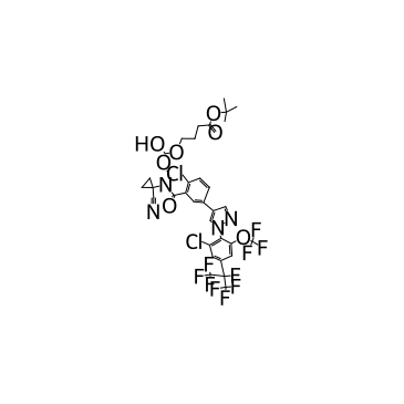 CC(C)(C)OC(=O)CCCOC(O)OCN(C(=O)c1cc(-c2cnn(-c3c(Cl)cc(C(F)(C(F)(F)F)C(F)(F)F)cc3OC(F)(F)F)c2)ccc1Cl)C1(C#N)CC1